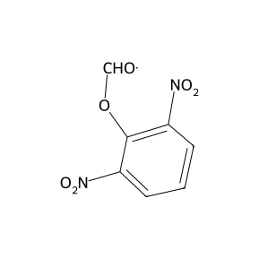 O=[C]Oc1c([N+](=O)[O-])cccc1[N+](=O)[O-]